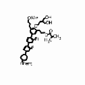 C=C(C)C(=O)OCCCc1cc(-c2ccc(-c3ccc(C4CCC(CCCCC)CC4)cc3F)cc2CC)cc(CCCOC)c1OCCC(CO)CO